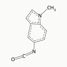 Cn1ccc2cc(N=C=O)ccc21